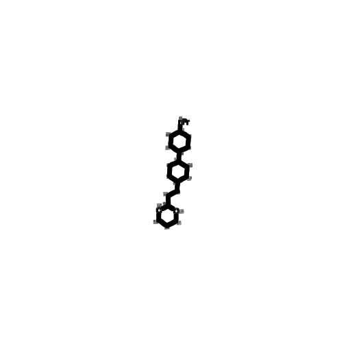 CCCC1CCC(C2CCC(CCC3OCCCO3)CC2)CC1